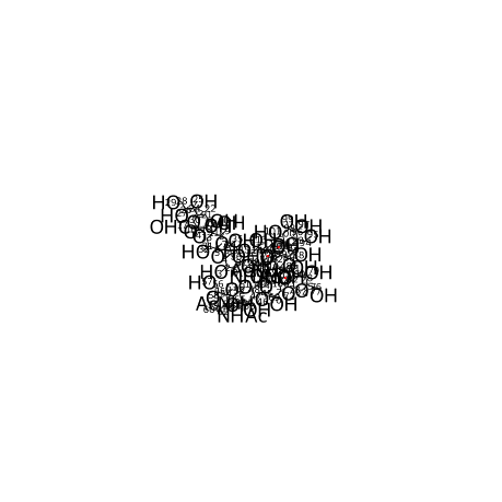 CC(=O)NC1C(O)[C@H](O[C@@H]2OC(CO)[C@H](O)[C@H](O[C@]3(OC=O)CC(O)[C@@H](C)C([C@H](O)[C@H](O)CO)O3)C2O)C(CO)O[C@H]1OC1[C@@H](OCC2O[C@@H](O[C@@H]3C(CO)O[C@@H](O[C@@H]4C(CO)O[C@@H](C)C(NC(C)=O)[C@H]4O)C(NC(C)=O)[C@H]3O)C(O)[C@@H](O[C@H]3O[C@H](CO)[C@@H](O)C(O)C3O[C@@H]3OC(CO)[C@@H](O[C@@H]4OC(CO)[C@H](O)[C@H](O)C4O)[C@H](O)C3NC(C)=O)[C@@H]2O)OC(CO)[C@@H](O)[C@@H]1O